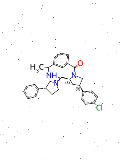 CC(N)c1cccc(C(=O)N2C[C@@H](c3ccc(Cl)cc3)C[C@H]2CN2CCC(c3ccccc3)C2)c1